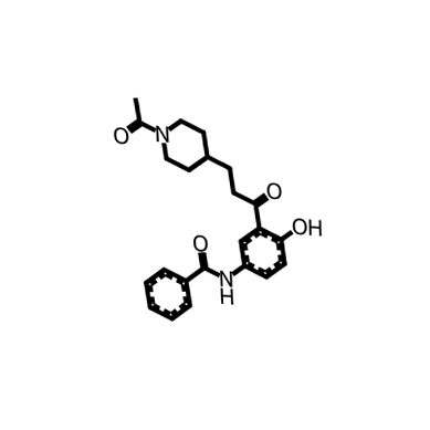 CC(=O)N1CCC(CCC(=O)c2cc(NC(=O)c3ccccc3)ccc2O)CC1